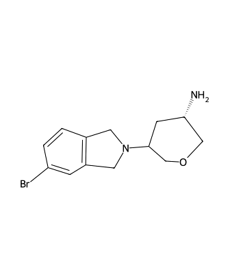 N[C@@H]1COCC(N2Cc3ccc(Br)cc3C2)C1